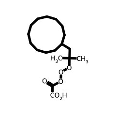 CC(C)(CC1CCCCCCCCCCC1)OOOC(=O)C(=O)O